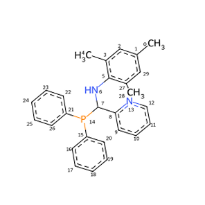 Cc1cc(C)c(NC(c2ccccn2)P(c2ccccc2)c2ccccc2)c(C)c1